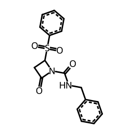 O=C1CC(S(=O)(=O)c2ccccc2)N1C(=O)NCc1ccccc1